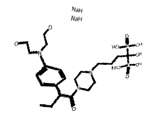 CCC(C(=O)N1CCN(CCCC(O)(P(=O)(O)O)P(=O)(O)O)CC1)c1ccc(N(CCCl)CCCl)cc1.[NaH].[NaH]